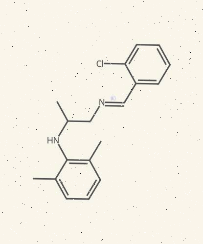 Cc1cccc(C)c1NC(C)C/N=C/c1ccccc1Cl